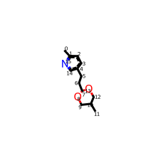 Cc1ccc(CCC2OCC(C)CO2)cn1